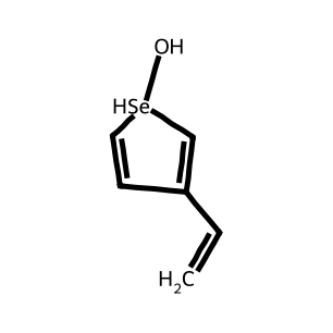 C=CC1=C[SeH](O)C=C1